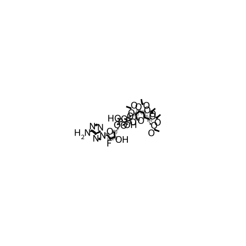 CC(=O)OC[C@@H](OC(C)=O)[C@H]1O[C@@H](OP(=O)(O)OP(=O)(O)OC[C@H]2O[C@@H](n3cnc4c(N)ncnc43)[C@H](F)[C@@H]2O)[C@@H](OC(C)=O)[C@@H](OC(C)=O)[C@@H]1OC(C)=O